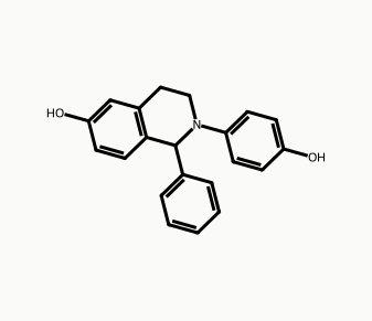 Oc1ccc(N2CCc3cc(O)ccc3C2c2ccccc2)cc1